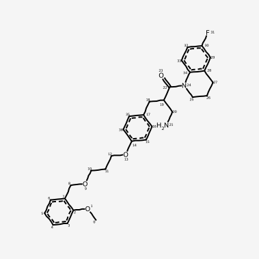 COc1ccccc1COCCCOc1ccc(CC(CN)C(=O)N2CCCc3cc(F)ccc32)cc1